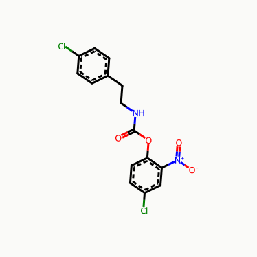 O=C(NCCc1ccc(Cl)cc1)Oc1ccc(Cl)cc1[N+](=O)[O-]